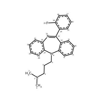 CN(C)CCCN1c2ccccc2C(c2ccccc2F)=Nc2cccnc21